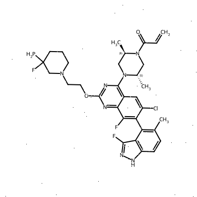 C=CC(=O)N1C[C@H](C)N(c2nc(OCCN3CCCC(F)(P)C3)nc3c(F)c(-c4c(C)ccc5[nH]nc(F)c45)c(Cl)cc23)C[C@H]1C